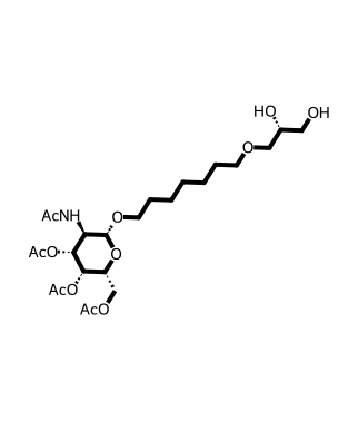 CC(=O)N[C@H]1[C@H](OCCCCCCCOC[C@H](O)CO)O[C@H](COC(C)=O)[C@H](OC(C)=O)[C@@H]1OC(C)=O